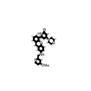 COc1ccnc(CNc2ccc3c(c2)Cc2cccc(-c4cc(N5CCOCC5)cc(=O)[nH]4)c2O3)c1